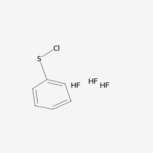 ClSc1ccccc1.F.F.F